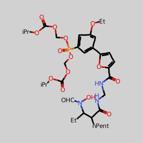 CCCCCC(C(=O)NCNC(=O)c1ccc(-c2cc(OCC)cc(P(=O)(OCOC(=O)OC(C)C)OCOC(=O)OC(C)C)c2)o1)C(CC)N(O)C=O